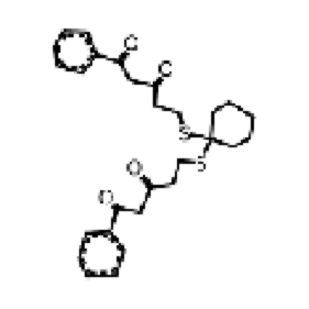 O=C(CCSC1(SCCC(=O)CC(=O)c2ccccc2)CCCCC1)CC(=O)c1ccccc1